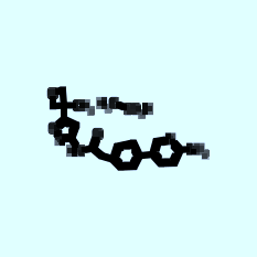 CC1(c2cc(NC(=O)Cc3ccc(-c4ccc(N)nc4)cc3)no2)COC1.CS(=O)(=O)O